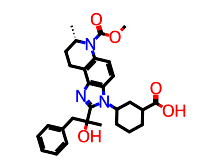 COC(=O)N1c2ccc3c(nc(C(C)(O)Cc4ccccc4)n3C3CCCC(C(=O)O)C3)c2CC[C@@H]1C